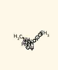 C=CCNC(=O)c1cnc(Nc2ccc(N3CCC4(CCN(C)CC4)CC3)cc2)nc1Nc1cccc(C2CC2)n1